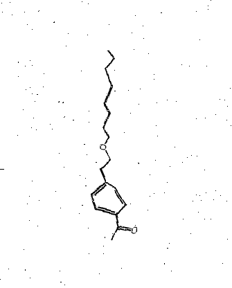 CCCCCCCCOCCc1ccc(C(C)=O)cc1